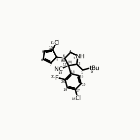 CC(C)(C)CC1NC[C@H](C2C=CC=C2Cl)[C@@]1(C#N)c1ccc(Cl)cc1F